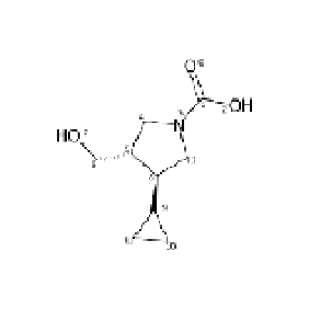 O=C(O)N1C[C@@H](CO)[C@H](C2CC2)C1